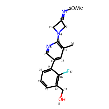 CON=C1CN(c2ncc(-c3cccc(CO)c3F)cc2C)C1